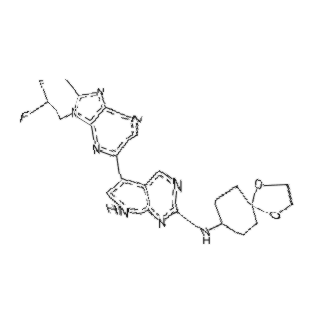 Cc1nc2ncc(-c3c[nH]c4nc(NC5CCC6(CC5)OCCO6)ncc34)nc2n1CC(F)F